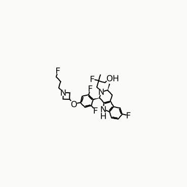 C[C@H]1Cc2c([nH]c3ccc(F)cc23)[C@@H](c2c(F)cc(OC3CN(CCCF)C3)cc2F)N1CC(C)(F)CO